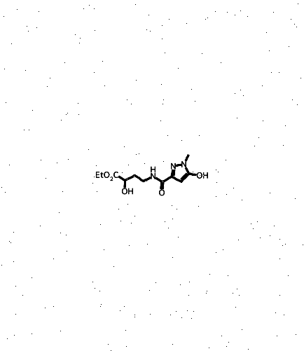 CCOC(=O)C(O)CCNC(=O)c1cc(O)n(C)n1